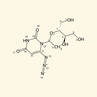 CC(O[C@H](CO)[C@H](O)CO)n1c(N=[N+]=[N-])cc(=O)[nH]c1=O